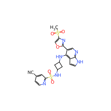 CS(=O)(=O)c1coc(-c2cnc3[nH]ccc3c2NC2CC(NS(=O)(=O)c3cc(C#N)ccn3)C2)n1